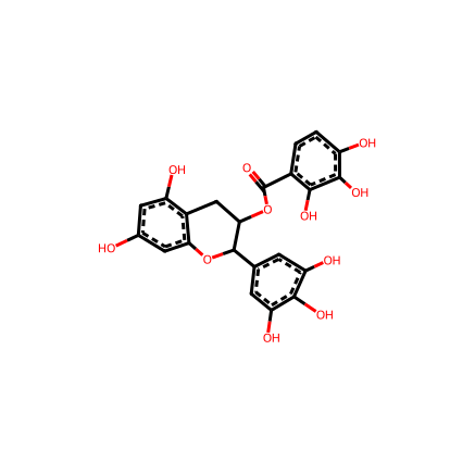 O=C(OC1Cc2c(O)cc(O)cc2OC1c1cc(O)c(O)c(O)c1)c1ccc(O)c(O)c1O